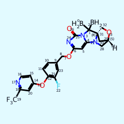 BC1(B)n2c(cc(OCc3ccc(Oc4ccnc(C(F)(F)F)c4)c(F)c3)nc2=O)N2C[C@@H]3C[C@@]21CO3